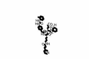 CC(=O)C1(NC(=O)[C@H](CCCC(=O)O)NC(=O)[C@H](CCCCNC(=O)/C=C/c2cccnc2)NC(=O)Cc2ccc(NC(=O)Nc3ccccc3C)cc2)CCCCC1